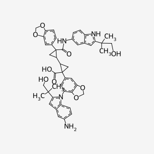 CC(C)(CO)c1cc2cc(NC(=O)C3(c4ccc5c(c4)OCO5)CC3C3CC3(C(=O)O)c3cc4c(c(-n5c(C(C)(C)CO)cc6cc(N)ccc65)c3)OCO4)ccc2[nH]1